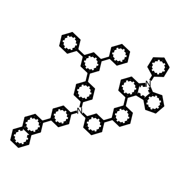 c1ccc(-c2cc(-c3ccccc3)cc(-c3ccc(N(c4ccc(-c5ccc6ccccc6c5)cc4)c4cccc(-c5cccc(-c6cccc7c6c6ccccc6n7-c6ccccc6)c5)c4)cc3)c2)cc1